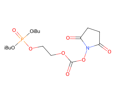 CC(C)COP(=O)(OCCOC(=O)ON1C(=O)CCC1=O)OCC(C)C